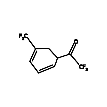 O=C(C1C=CC=C(C(F)(F)F)C1)C(F)(F)F